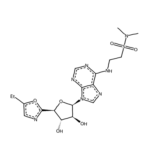 CCc1cnc([C@H]2O[C@@H](n3cnc4c(NCCS(=O)(=O)N(C)C)ncnc43)[C@@H](O)[C@@H]2O)o1